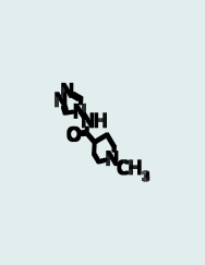 CN1CCC(C(=O)Nn2cnnc2)CC1